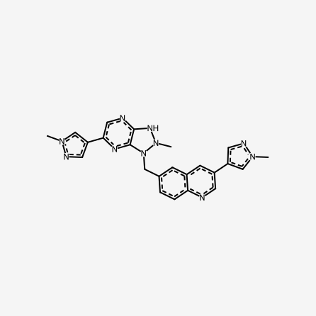 CN1Nc2ncc(-c3cnn(C)c3)nc2N1Cc1ccc2ncc(-c3cnn(C)c3)cc2c1